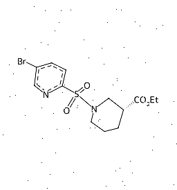 CCOC(=O)[C@@H]1CCCN(S(=O)(=O)c2ccc(Br)cn2)C1